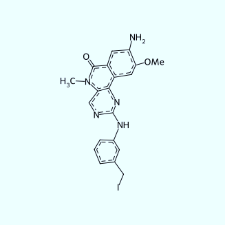 COc1cc2c(cc1N)c(=O)n(C)c1cnc(Nc3cccc(CI)c3)nc21